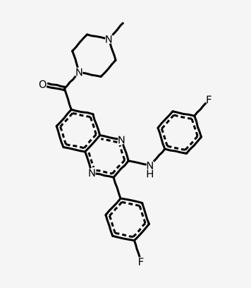 CN1CCN(C(=O)c2ccc3nc(-c4ccc(F)cc4)c(Nc4ccc(F)cc4)nc3c2)CC1